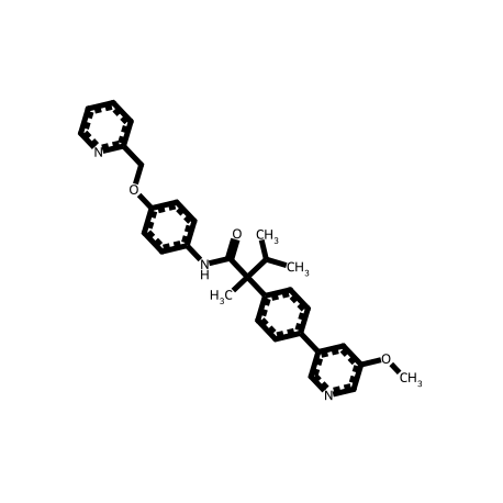 COc1cncc(-c2ccc(C(C)(C(=O)Nc3ccc(OCc4ccccn4)cc3)C(C)C)cc2)c1